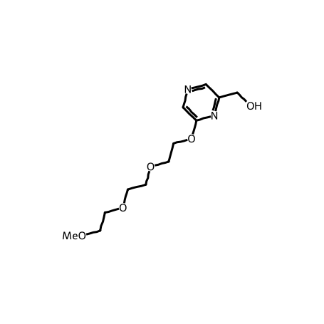 COCCOCCOCCOc1cncc(CO)n1